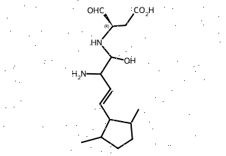 CC1CCC(C)C1C=CC(N)C(O)N[C@@H](C=O)CC(=O)O